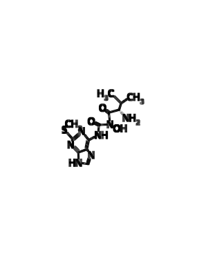 CSc1nc(NC(=O)N(O)C(=O)[C@@H](N)C(C)C)c2nc[nH]c2n1